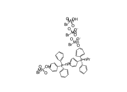 CCC[P+](c1ccccc1)(c1ccccc1)c1ccccc1.CCC[P+](c1ccccc1)(c1ccccc1)c1ccccc1.[O]=[Mn](=[O])([O-])[Br].[O]=[Mn](=[O])([O-])[Br].[O]=[Mn](=[O])([OH])[Br].[O]=[Mn](=[O])([OH])[Br]